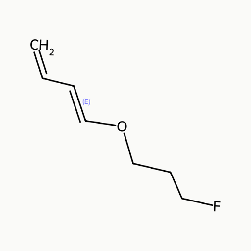 C=C/C=C/OCCCF